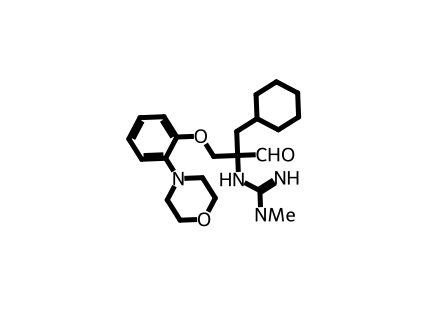 CNC(=N)NC(C=O)(COc1ccccc1N1CCOCC1)CC1CCCCC1